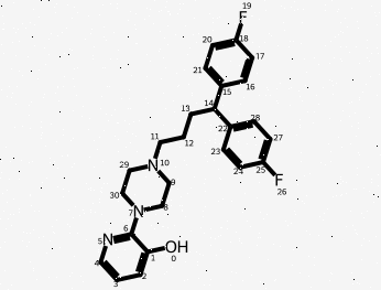 Oc1cccnc1N1CCN(CCCC(c2ccc(F)cc2)c2ccc(F)cc2)CC1